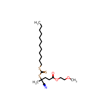 CCCCCCCCCCCCSC(=S)SC(C)(C#N)CCC(=O)OCCOC